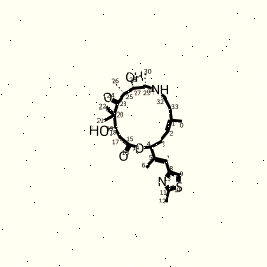 C/C1=C/CC(/C(C)=C/c2csc(C)n2)OC(=O)C[C@H](O)C(C)(C)C(=O)[C@H](C)[C@H](O)[C@H](C)NCC1